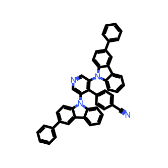 N#Cc1ccc(-c2c(-n3c4ccccc4c4cc(-c5ccccc5)ccc43)cncc2-n2c3ccccc3c3cc(-c4ccccc4)ccc32)cc1